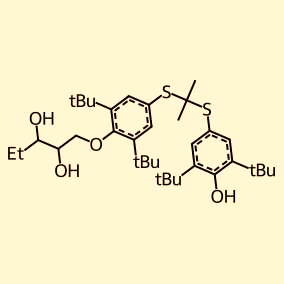 CCC(O)C(O)COc1c(C(C)(C)C)cc(SC(C)(C)Sc2cc(C(C)(C)C)c(O)c(C(C)(C)C)c2)cc1C(C)(C)C